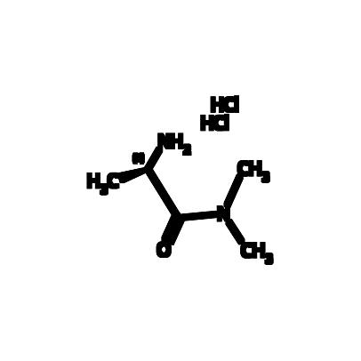 C[C@@H](N)C(=O)N(C)C.Cl.Cl